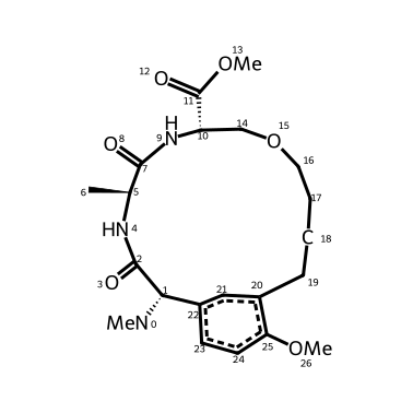 CN[C@@H]1C(=O)N[C@@H](C)C(=O)N[C@H](C(=O)OC)COCCCCc2cc1ccc2OC